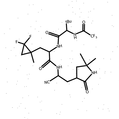 CC1(C)CC(CC(C#N)NC(=O)C(CC2(C)CC2(F)F)NC(=O)C(NC(=O)C(F)(F)F)C(C)(C)C)C(=O)N1